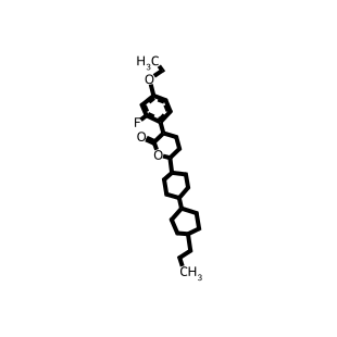 CCCC1CCC(C2CCC(C3CCC(c4ccc(OCC)cc4F)C(=O)O3)CC2)CC1